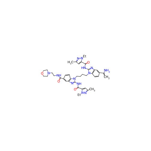 C=C(N)c1ccc2c(c1)nc(NC(=O)c1cc(C)nn1CC)n2CCCCn1c(NC(=O)c2cc(C)nn2CC)nc2cc(C(=O)NCCN3CCOCC3)ccc21